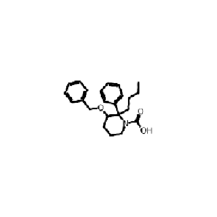 CCCCC1(c2ccccc2)C(OCc2ccccc2)CCCN1C(=O)O